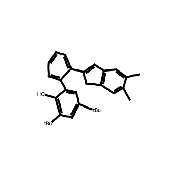 Cc1cc2c(cc1C)CC(c1ccccc1-c1cc(C(C)(C)C)cc(C(C)(C)C)c1O)=C2